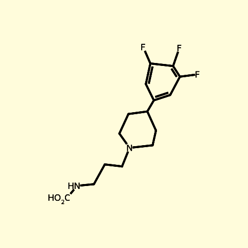 O=C(O)NCCCN1CCC(c2cc(F)c(F)c(F)c2)CC1